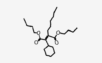 CCCCCCC(C(=O)OCCCC)=C(C(=O)OCCCC)C1CCCCC1